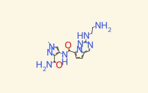 Cn1cc(NC(=O)c2ccc3cnc(NCCN)nn23)c(C(N)=O)n1